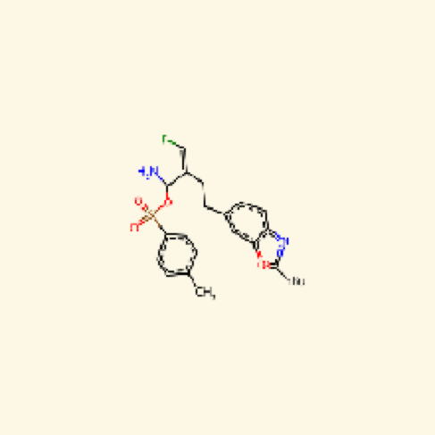 CCCCc1nc2ccc(CCC(=CF)C(N)OS(=O)(=O)c3ccc(C)cc3)cc2o1